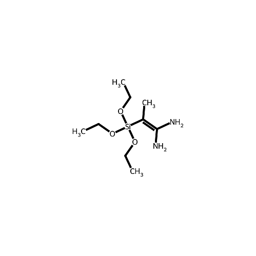 CCO[Si](OCC)(OCC)C(C)=C(N)N